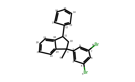 CC1(c2cc(Br)cc(Br)c2)CC(c2ccccc2)c2ccccc21